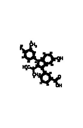 Cc1cc(-n2c(C(C)C)c(-c3cccc(C(=O)O)c3)c3cc(O)ccc32)ccc1F